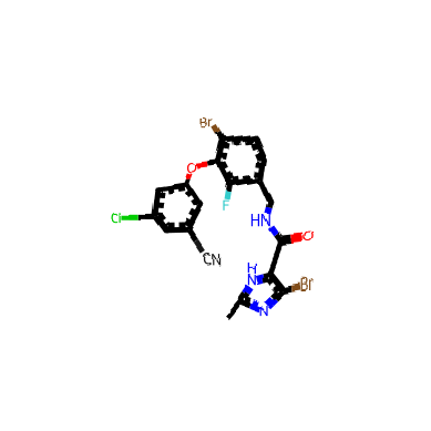 Cc1nc(Br)c(C(=O)NCc2ccc(Br)c(Oc3cc(Cl)cc(C#N)c3)c2F)[nH]1